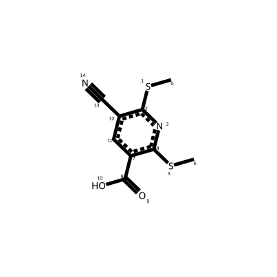 CSc1nc(SC)c(C(=O)O)cc1C#N